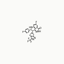 O=c1[nH]nc2c3c(cc(F)cc13)NC(c1ccc(F)cc1)C2N1CCn2c(nnc2C(F)(F)F)C1